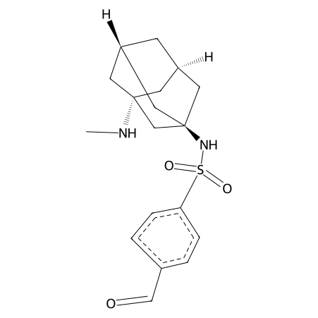 CN[C@@]12C[C@H]3C[C@@H](C1)C[C@](NS(=O)(=O)c1ccc(C=O)cc1)(C3)C2